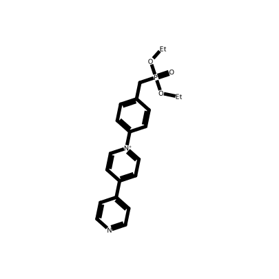 CCOP(=O)(Cc1ccc(-[n+]2ccc(-c3ccncc3)cc2)cc1)OCC